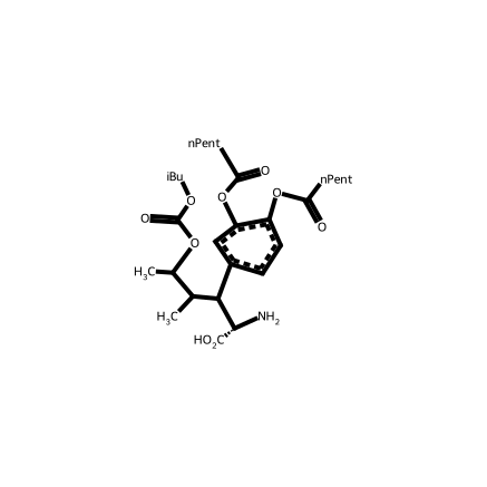 CCCCCC(=O)Oc1ccc(C(C(C)C(C)OC(=O)OC(C)CC)[C@H](N)C(=O)O)cc1OC(=O)CCCCC